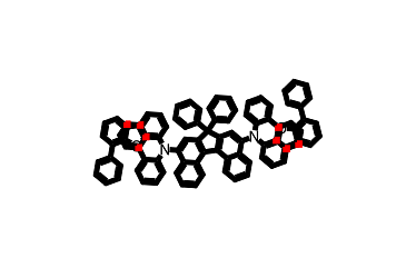 c1ccc(-c2ccccc2N(c2cc3c(c4ccccc24)-c2c(cc(N(c4ccccc4-c4ccccc4)c4cccc5c4oc4c(-c6ccccc6)cccc45)c4ccccc24)C3(c2ccccc2)c2ccccc2)c2cccc3c2oc2c(-c4ccccc4)cccc23)cc1